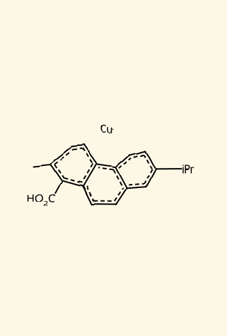 Cc1ccc2c(ccc3cc(C(C)C)ccc32)c1C(=O)O.[Cu]